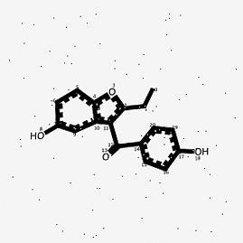 CCc1oc2ccc(O)cc2c1C(=O)c1ccc(O)cc1